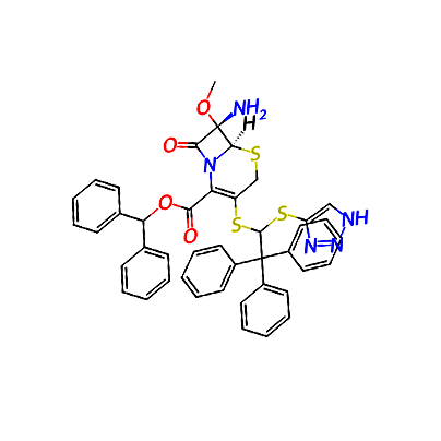 CO[C@@]1(N)C(=O)N2C(C(=O)OC(c3ccccc3)c3ccccc3)=C(SC(Sc3c[nH]nn3)C(c3ccccc3)(c3ccccc3)c3ccccc3)CS[C@@H]21